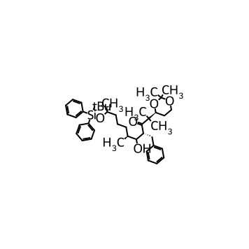 CC(CCC[C@H](C)C(O)[C@@H](Cc1ccccc1)C(=O)C(C)(C)[C@@H]1CCOC(C)(C)O1)O[Si](c1ccccc1)(c1ccccc1)C(C)(C)C